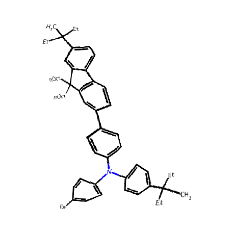 CCCCCCCCC1(CCCCCCCC)c2cc(-c3ccc(N(c4ccc(C(C)CC)cc4)c4ccc(C(C)(CC)CC)cc4)cc3)ccc2-c2ccc(C(C)(CC)CC)cc21